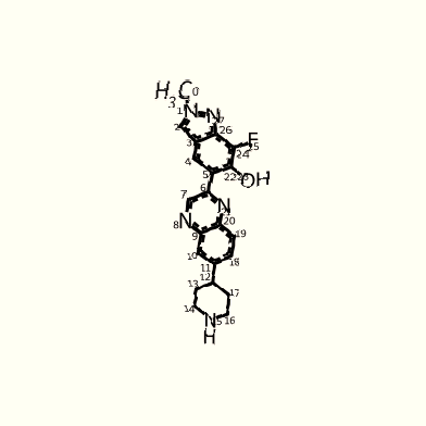 Cn1cc2cc(-c3cnc4cc(C5CCNCC5)ccc4n3)c(O)c(F)c2n1